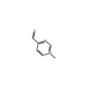 C[n+]1ccc(C=O)nc1